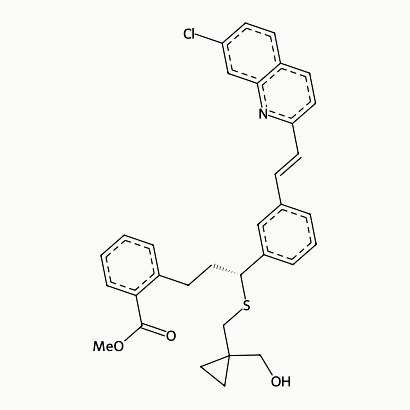 COC(=O)c1ccccc1CC[C@@H](SCC1(CO)CC1)c1cccc(C=Cc2ccc3ccc(Cl)cc3n2)c1